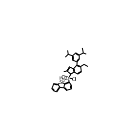 CCc1ccc2c(c1-c1cc(C(C)C)cc(C(C)C)c1)C=C(C)[CH]2[Zr]([Cl])([Cl])[c]1cccc2c1[SiH2]c1ccccc1-2